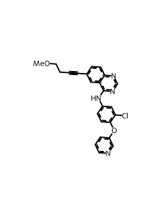 COCCC#Cc1ccc2ncnc(Nc3ccc(Oc4cccnc4)c(Cl)c3)c2c1